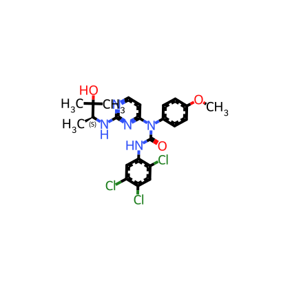 COc1ccc(N(C(=O)Nc2cc(Cl)c(Cl)cc2Cl)c2ccnc(N[C@@H](C)C(C)(C)O)n2)cc1